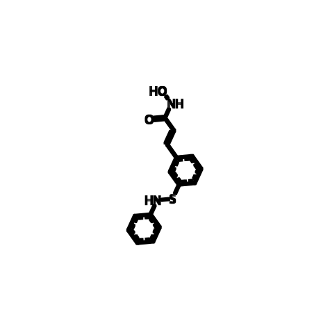 O=C(/C=C/c1cccc(SNc2ccccc2)c1)NO